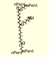 CCCCCC(CCCCC)CCOC(=O)CCCCCCCCCC(CCCCCCCC(=O)OCCC(CCCCC)CCCCC)OCCCCN(C)CC